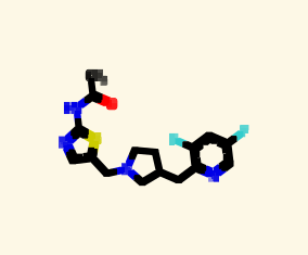 CC(=O)Nc1ncc(CN2CCC(Cc3ncc(F)cc3F)C2)s1